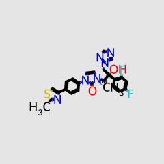 Cc1nc(-c2ccc(-n3ccn([C@H](C)[C@](O)(Cn4cncn4)c4ccc(F)cc4F)c3=O)cc2)cs1